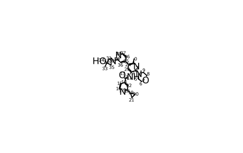 Cc1nc(N2CCOCC2)c(NC(=O)c2ccnc(C3CC3)c2)cc1-c1ccnc(N2CC(C)(O)C2)c1